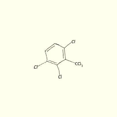 Clc1ccc(Cl)c(C(Cl)(Cl)Cl)c1Cl